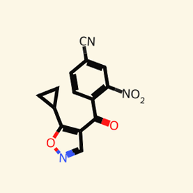 N#Cc1ccc(C(=O)c2cnoc2C2CC2)c([N+](=O)[O-])c1